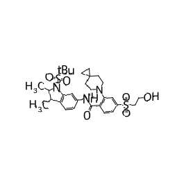 CC1c2ccc(NC(=O)c3ccc(S(=O)(=O)CCO)cc3N3CCC4(CC3)CC4)cc2N(S(=O)(=O)C(C)(C)C)C1C